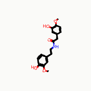 COc1ccc(CC(=O)NCCc2ccc(O)c(OC)c2)cc1O